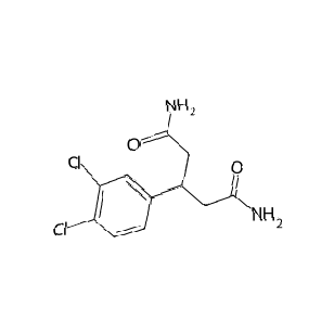 NC(=O)CC(CC(N)=O)c1ccc(Cl)c(Cl)c1